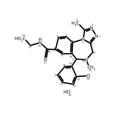 Cc1nnc2n1-c1ccc(C(=O)NCC(=O)O)cc1C(c1ccccc1Cl)N(C)C2.Cl